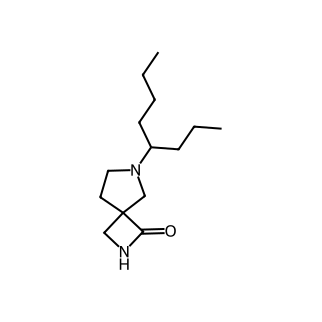 CCCCC(CCC)N1CCC2(CNC2=O)C1